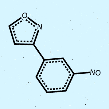 O=Nc1cccc(-c2ccon2)c1